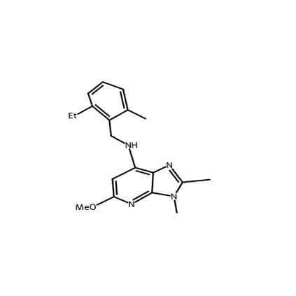 CCc1cccc(C)c1CNc1cc(OC)nc2c1nc(C)n2C